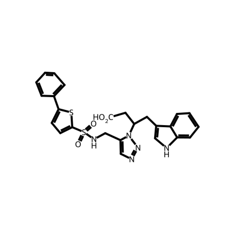 O=C(O)CC(Cc1c[nH]c2ccccc12)n1nncc1CNS(=O)(=O)c1ccc(-c2ccccc2)s1